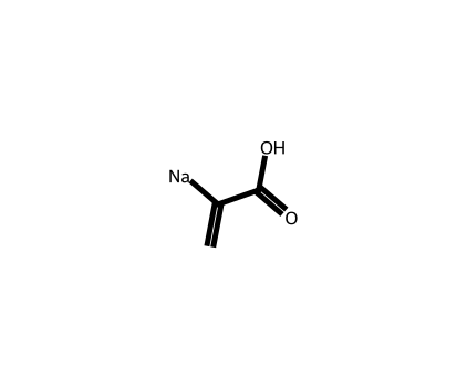 C=[C]([Na])C(=O)O